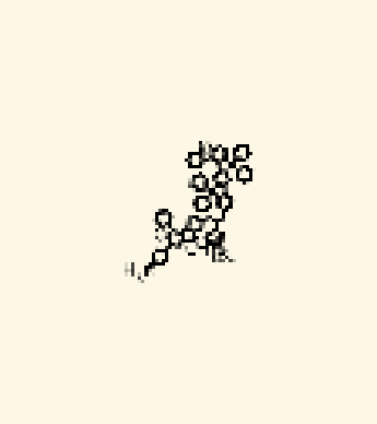 Cc1ccc(-c2cc3c(c4c2oc2ccccc24)-c2ccc(CC(Cc4ccc5c(c4)C(c4ccccc4)(c4ccccc4)c4cc6c(cc4-5)C(c4ccccc4)(c4ccccc4)c4ccc5oc7ccccc7c5c4-6)c4ccc(C(C)(C)C)cc4)cc2C3(C)C)cc1